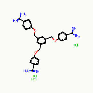 Cl.Cl.Cl.N=C(N)c1ccc(OCc2cc(COc3ccc(C(=N)N)cc3)cc(COc3ccc(C(=N)N)cc3)c2)cc1